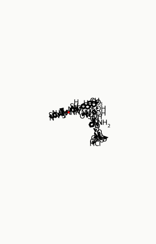 C[C@]12C=CC(=O)C=C1CC[C@@H]1[C@@H]2CC[C@]2(C)OC(=O)CC[C@@H]12.Cl.NC(=O)c1csc([C@@H]2O[C@H](CO)[C@@H](O)[C@H]2O)n1.Nc1n[n+]([O-])c2ccccc2[n+]1[O-].Nc1nc(=S)c2[nH]cnc2[nH]1.O=c1n(C[C@H]2CO2)c(=O)n(C[C@@H]2CO2)c(=O)n1C[C@H]1CO1.S=P(N1CC1)(N1CC1)N1CC1.c1ncc2ncsc2n1